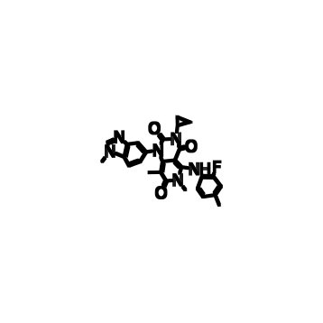 Cc1ccc(Nc2c3c(=O)n(C4CC4)c(=O)n(-c4ccc5c(c4)ncn5C)c3c(C)c(=O)n2C)c(F)c1